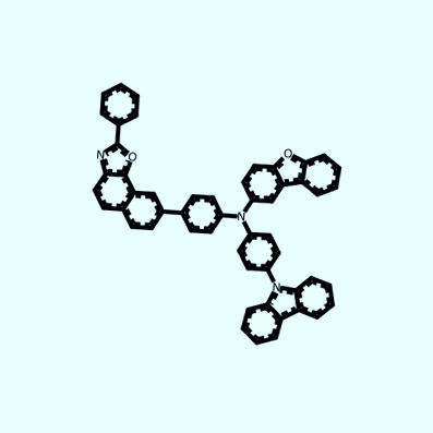 c1ccc(-c2nc3ccc4ccc(-c5ccc(N(c6ccc(-n7c8ccccc8c8ccccc87)cc6)c6ccc7oc8ccccc8c7c6)cc5)cc4c3o2)cc1